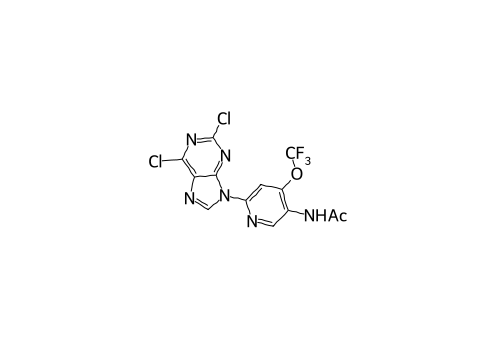 CC(=O)Nc1cnc(-n2cnc3c(Cl)nc(Cl)nc32)cc1OC(F)(F)F